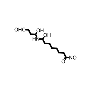 O=CCCC(O)NC(O)CCCCCCC(=O)N=O